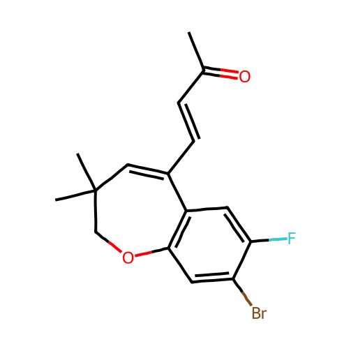 CC(=O)C=CC1=CC(C)(C)COc2cc(Br)c(F)cc21